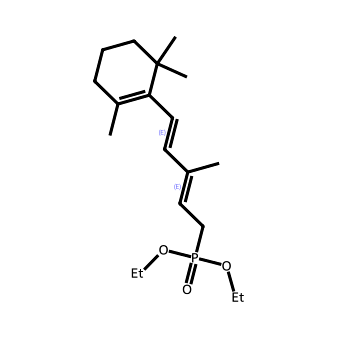 CCOP(=O)(C/C=C(C)/C=C/C1=C(C)CCCC1(C)C)OCC